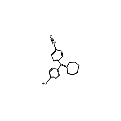 [C-]#[N+]c1ccc(C(=C2CCCCCC2)c2ccc(O)cc2)cc1